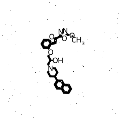 COc1nnc(-c2cc3c(OC[C@@H](O)CN4CCC(c5ccc6ccccc6c5)CC4)cccc3o2)o1